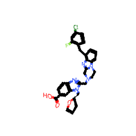 O=C(O)c1ccc2nc(CN3CCn4c(nc5c(Cc6ccc(Cl)cc6F)cccc54)C3)n(C[C@H]3CCCO3)c2c1